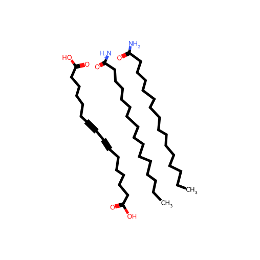 CCCCCCCCCCCCCCCC(N)=O.CCCCCCCCCCCCCCCC(N)=O.O=C(O)CCCCCC#CC#CCCCCCC(=O)O